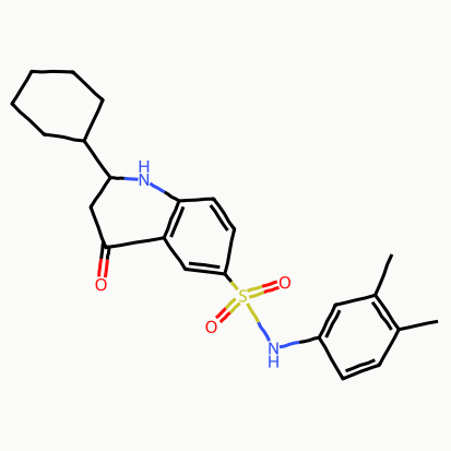 Cc1ccc(NS(=O)(=O)c2ccc3c(c2)C(=O)CC(C2CCCCC2)N3)cc1C